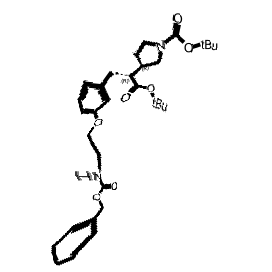 CC(C)(C)OC(=O)[C@H](Cc1cccc(OCCNC(=O)OCc2ccccc2)c1)[C@H]1CCN(C(=O)OC(C)(C)C)C1